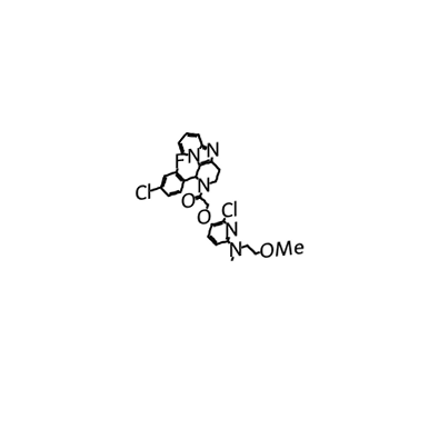 COCCN(C)c1ccc(OCC(=O)N2CCc3nc4ccccn4c3C2c2ccc(Cl)cc2F)c(Cl)n1